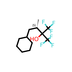 C[C@@H](CC1CCCCC1)C(O)(C(F)(F)F)C(F)(F)F